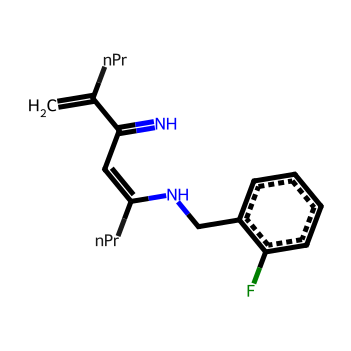 C=C(CCC)C(=N)/C=C(/CCC)NCc1ccccc1F